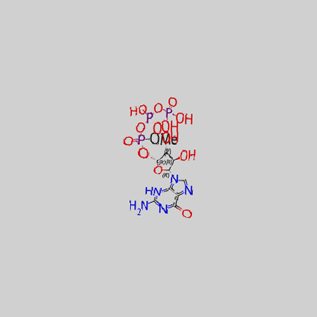 COP(=O)(O[C@H]1O[C@@H](n2cnc3c(=O)nc(N)[nH]c32)[C@H](O)[C@H]1O)OP(=O)(O)OP(=O)(O)O